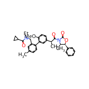 CCN(Cc1cc(C)ccc1-c1cc([C@H](C)C(=O)N2C(=O)O[C@@H](c3ccccc3)[C@H]2C)ccc1OC)C(=O)C1CC1